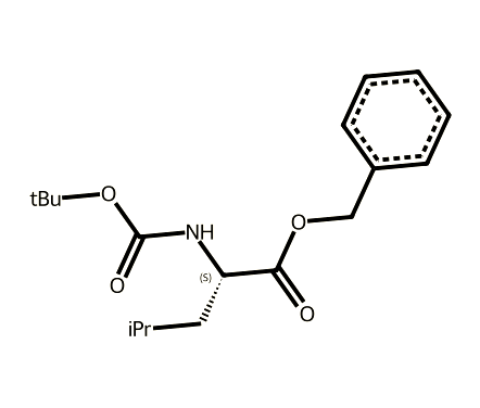 CC(C)C[C@H](NC(=O)OC(C)(C)C)C(=O)OCc1ccccc1